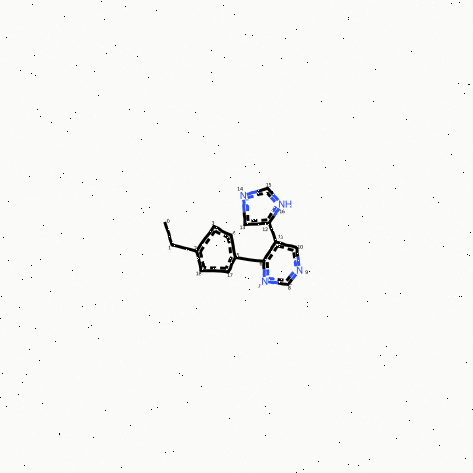 CCc1ccc(-c2n[c]ncc2-c2cnc[nH]2)cc1